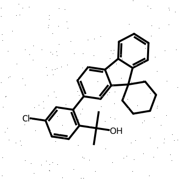 CC(C)(O)c1ccc(Cl)cc1-c1ccc2c(c1)C1(CCCCC1)c1ccccc1-2